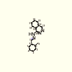 Cc1ccccc1/C=N/Nc1nncc2ccccc12